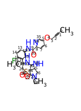 CC#CCOc1ccc(C(=O)Nc2ccc(F)c([C@]3(C)CS(=O)(=O)C4(CCN(C)C4)C(=N)N3)c2)nc1